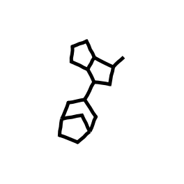 CC1CC(C2CC3CCC(C3)C2)C2CCCC12